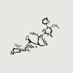 CCCCc1c(C(=O)N[C@@H](CO)Cc2cnc[nH]2)cnn1-c1ncc(C)c(-c2cccs2)n1